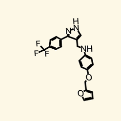 FC(F)(F)c1ccc(-c2n[nH]cc2CNc2ccc(OCc3ccco3)cc2)cc1